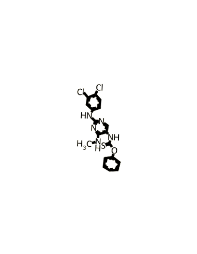 CNc1nc(Nc2ccc(Cl)c(Cl)c2)ncc1NC(=S)Oc1ccccc1